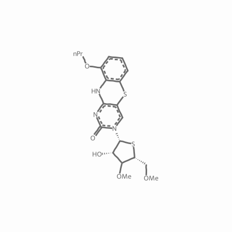 CCCOc1cccc2c1Nc1nc(=O)n([C@@H]3S[C@H](COC)C(OC)[C@@H]3O)cc1S2